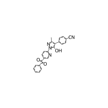 Cc1nn(-c2ccc(S(=O)(=O)c3ccccc3)cn2)c(O)c1-c1ccc(C#N)cc1